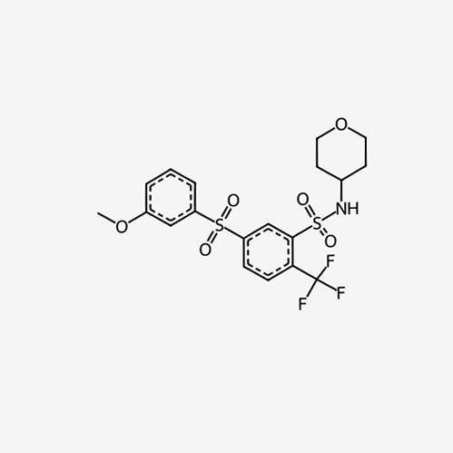 COc1cccc(S(=O)(=O)c2ccc(C(F)(F)F)c(S(=O)(=O)NC3CCOCC3)c2)c1